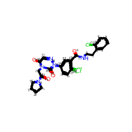 O=C(NCCc1ccccc1Cl)c1cc(-n2ncc(=O)n(CC(=O)N3CCCC3)c2=O)ccc1Cl